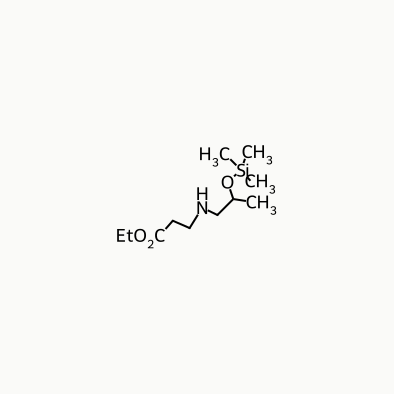 CCOC(=O)CCNCC(C)O[Si](C)(C)C